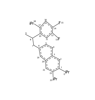 CC(C)c1cc2ccc(CC(C)c3cc(F)c(F)cc3C(C)C)cc2cc1C(C)C